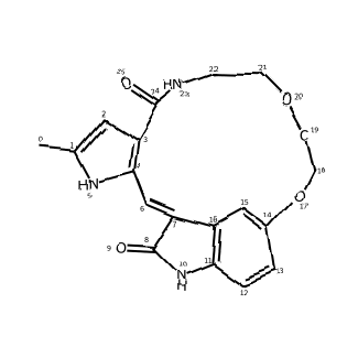 Cc1cc2c([nH]1)/C=C1\C(=O)Nc3ccc(cc31)OCCOCCNC2=O